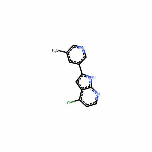 FC(F)(F)c1cncc(-c2cc3c(Cl)ccnc3[nH]2)c1